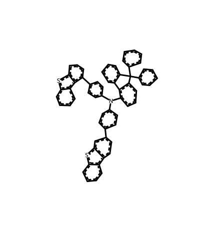 c1ccc(C2(c3ccccc3)c3ccccc3-c3c(N(c4ccc(-c5ccc6c(c5)sc5ccccc56)cc4)c4ccc(-c5cccc6sc7ccccc7c56)cc4)cccc32)cc1